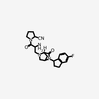 N#CC1CCCN1C(=O)C(N)CN1CC2C[C@H]1C(=O)N2C1CCc2cc(F)ccc21